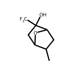 CC1CC2OC1CC2(O)C(F)(F)F